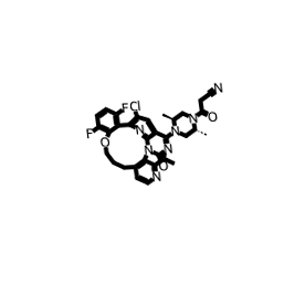 CC(C)c1nccc2c1-n1c(=O)nc(N3C[C@@H](C)N(C(=O)CC#N)C[C@@H]3C)c3cc(Cl)c(nc31)-c1c(F)ccc(F)c1OCCC2